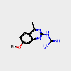 CCOc1ccc2c(C)nc(NC(=N)N)nc2c1